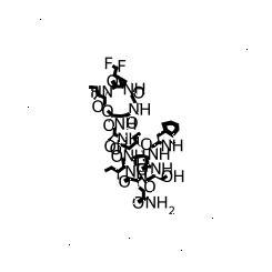 CC[C@H](C)[C@H](NC(=O)[C@@H](Cc1ccccc1)NC)C(=O)N[C@@H](CO)C(=O)N[C@H](CCC(N)=O)C(=O)N[C@@H](C(=O)N[C@H](C(=O)N[C@@H](CO)C(=O)N[C@H]1C(=O)N[C@@H](C)C(=O)NC2(CC2CC(F)F)C(=O)N[C@@H]([C@@H](C)CC)C(=O)O[C@H]1C)[C@@H](C)CC)[C@@H](C)CC